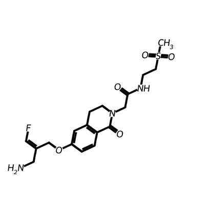 CS(=O)(=O)CCNC(=O)CN1CCc2cc(OC/C(=C\F)CN)ccc2C1=O